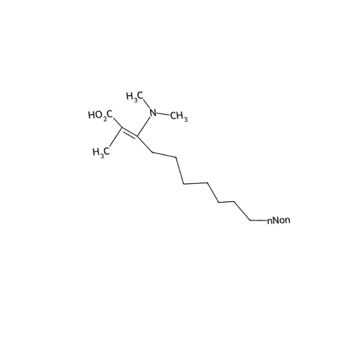 CCCCCCCCCCCCCCCCC(=C(C)C(=O)O)N(C)C